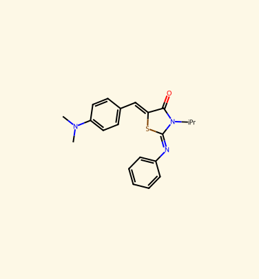 CC(C)N1C(=O)C(=Cc2ccc(N(C)C)cc2)SC1=Nc1ccccc1